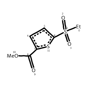 CCS(=O)(=O)c1ccc(C(=O)OC)s1